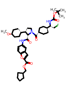 CO[C@H]1CC[C@H]([C@@H]2CCN(C(=O)[C@H]3CC[C@H]([C@@H](CF)NC(=O)OC(C)(C)C)CC3)[C@@H]2C(=O)Nc2ccc3oc(C(=O)OCC4CCCC4)cc3c2)CC1